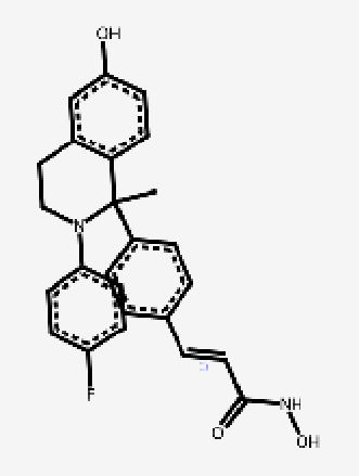 CC1(c2ccc(/C=C/C(=O)NO)cc2)c2ccc(O)cc2CCN1c1ccc(F)cc1